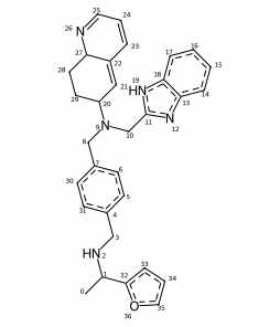 CC(NCc1ccc(CN(Cc2nc3ccccc3[nH]2)C2C=C3C=CC=NC3CC2)cc1)c1ccco1